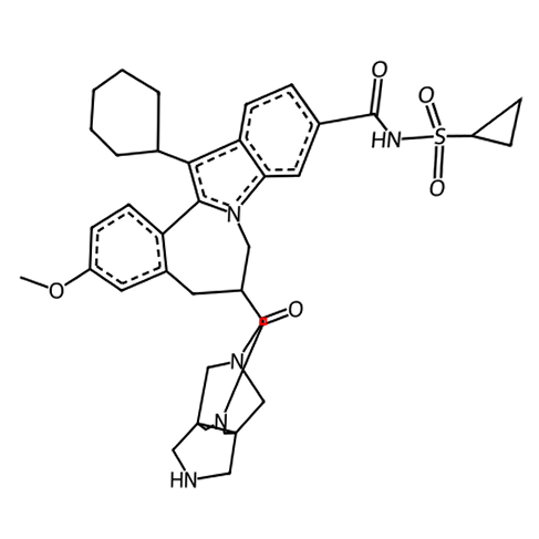 COc1ccc2c(c1)CC(C(=O)N1CC34CNCC3(CN(C)C4)C1)Cn1c-2c(C2CCCCC2)c2ccc(C(=O)NS(=O)(=O)C3CC3)cc21